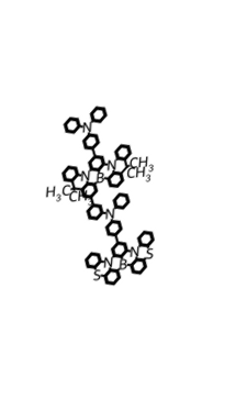 CC1(C)c2ccccc2N2c3cc(-c4ccc(N(c5ccccc5)c5ccccc5)cc4)cc4c3B(c3cccc1c32)c1cc(-c2cccc(N(c3ccccc3)c3ccc(-c5cc6c7c(c5)N5c8ccccc8Sc8cccc(c85)B7c5cccc7c5N6c5ccccc5S7)cc3)c2)cc2c1N4c1ccccc1C2(C)C